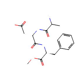 COC(=O)[C@H](Cc1ccccc1)NC(=O)[C@H](CC(=O)O)NC(=O)C(C)N